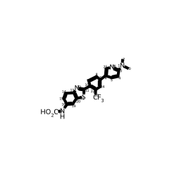 CN(C)c1ccc(-c2ccc(-c3nc4ccc(NC(=O)O)cc4s3)c(C(F)(F)F)c2)cn1